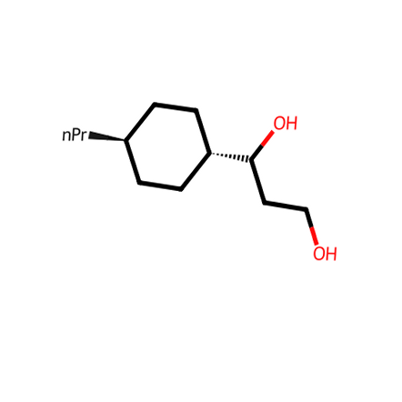 CCC[C@H]1CC[C@H](C(O)CCO)CC1